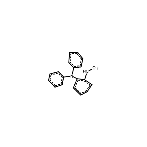 ONc1ccccc1N(c1ccccc1)c1ccccc1